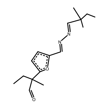 CCC(C)(C)/C=N/N=C/c1ccc(C(C)(C=O)CC)o1